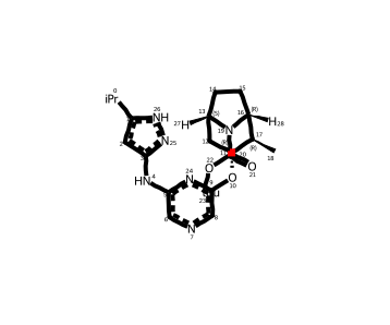 CC(C)c1cc(Nc2cncc(O[C@@H]3C[C@@H]4CC[C@H]([C@H]3C)N4C(=O)OC(C)(C)C)n2)n[nH]1